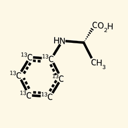 C[C@H](N[13c]1[13cH][13cH][13cH][13cH][13cH]1)C(=O)O